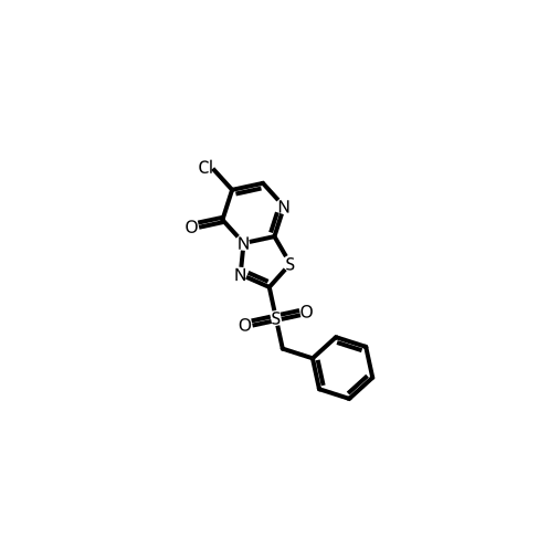 O=c1c(Cl)cnc2sc(S(=O)(=O)Cc3ccccc3)nn12